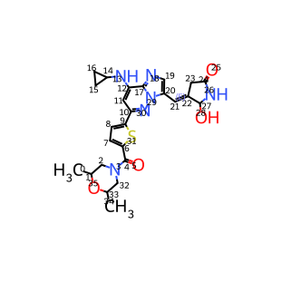 CC1CN(C(=O)c2ccc(-c3cc(NC4CC4)c4ncc(/C=C5\CC(=O)NC5O)n4n3)s2)CC(C)O1